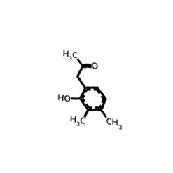 CC(=O)Cc1ccc(C)c(C)c1O